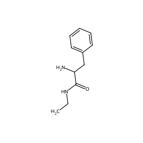 [CH2]CNC(=O)C(N)Cc1ccccc1